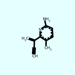 C#CC(=C)c1nc(N)ccc1C